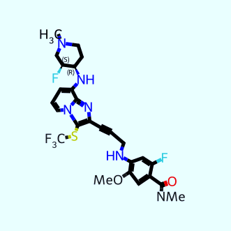 CNC(=O)c1cc(OC)c(NCC#Cc2nc3c(N[C@@H]4CCN(C)C[C@@H]4F)cccn3c2SC(F)(F)F)cc1F